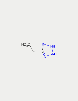 O=C(O)CC1=NNNN1